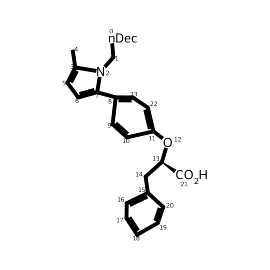 CCCCCCCCCCCn1c(C)ccc1-c1ccc(O[C@H](Cc2ccccc2)C(=O)O)cc1